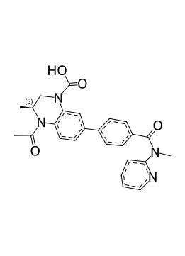 CC(=O)N1c2ccc(-c3ccc(C(=O)N(C)c4ccccn4)cc3)cc2N(C(=O)O)C[C@@H]1C